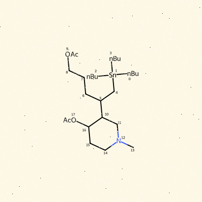 CCC[CH2][Sn]([CH2]CCC)([CH2]CCC)[CH2]C(CCCOC(C)=O)C1CN(C)CCC1OC(C)=O